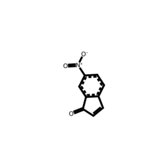 O=C1C=Cc2ccc([N+](=O)[O-])cc21